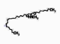 CCCCC/C=C\C/C=C\CCCCCCCCOC[C@H](COCCCCCCCC)NC